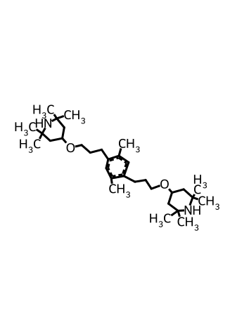 Cc1cc(CCCOC2CC(C)(C)NC(C)(C)C2)c(C)cc1CCCOC1CC(C)(C)NC(C)(C)C1